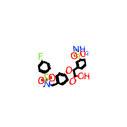 CN(Cc1ccc(OC(C(=O)O)c2cccc(S(N)(=O)=O)c2)cc1)S(=O)(=O)c1ccc(F)cc1